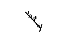 CCCCCC(CCCCC)CCOC(=O)CCCCCCCN(CCCCCCCC(=O)OCCC(CCCC)CCCC)CCCNSCC